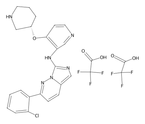 Clc1ccccc1-c1ccc2cnc(Nc3cnccc3O[C@H]3CCCNC3)n2n1.O=C(O)C(F)(F)F.O=C(O)C(F)(F)F